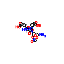 C[C@H](NC(=O)c1ccc2c(c1)B(O)OC2)[C@H](NC(=O)c1ccc2c(c1)B(O)OC2)C(=O)N[C@@H](CCCCN)CC(=O)ON1C(=O)CCC1=O